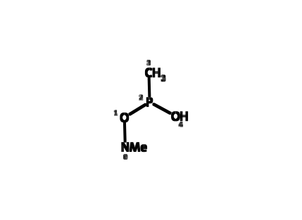 CNOP(C)O